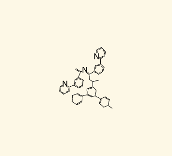 C=C(/N=C(\CC(C)C1=CC(C2=CCCC=C2)=CC(C2=CCC(C)C=C2)C1)c1cccc(-c2ccccn2)c1)c1cccc(-c2ccccn2)c1